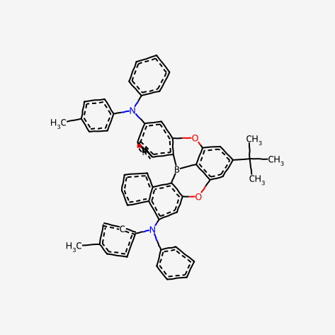 Cc1ccc(N(c2ccccc2)c2cc3c(c4ccccc24)B2c4c(cc(C(C)(C)C)cc4Oc4cc(N(c5ccccc5)c5ccc(C)cc5)c5ccccc5c42)O3)cc1